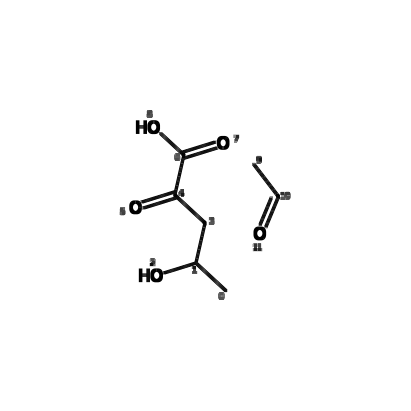 CC(O)CC(=O)C(=O)O.CC=O